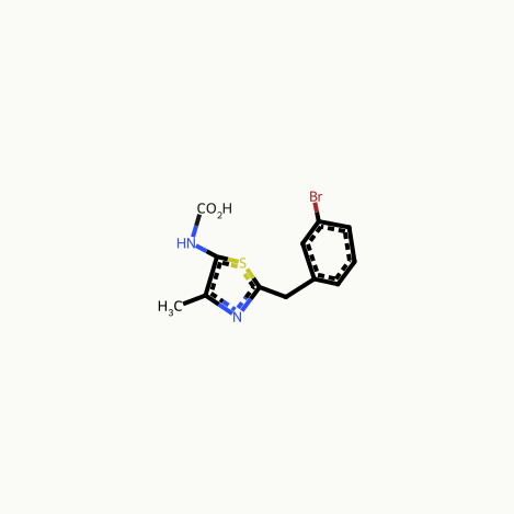 Cc1nc(Cc2cccc(Br)c2)sc1NC(=O)O